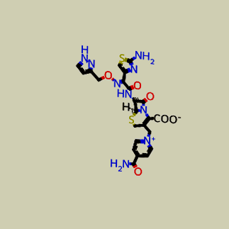 NC(=O)c1cc[n+](CC2=C(C(=O)[O-])N3C(=O)[C@@H](NC(=O)C(=NOCc4cc[nH]n4)c4csc(N)n4)[C@@H]3SC2)cc1